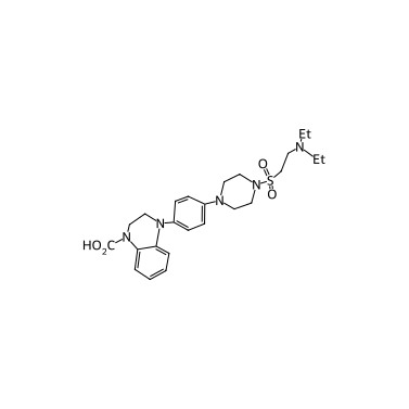 CCN(CC)CCS(=O)(=O)N1CCN(c2ccc(N3CCN(C(=O)O)c4ccccc43)cc2)CC1